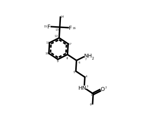 CC(=O)NCCC(N)c1cccc(C(C)(F)F)c1